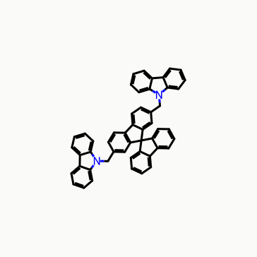 c1ccc2c(c1)-c1ccccc1C21c2cc(Cn3c4ccccc4c4ccccc43)ccc2-c2ccc(Cn3c4ccccc4c4ccccc43)cc21